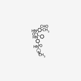 Cc1cc2c(cc1C=O)NC(=O)/C2=C(\Nc1ccc(C(=O)NC2CCN(C)CC2)cc1)c1ccccc1